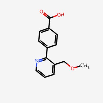 COCc1cccnc1-c1ccc(C(=O)O)cc1